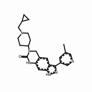 Cc1cncc(-c2n[nH]c3cc4c(cc23)CN(C2CCN(CC3CC3)CC2)C(=O)N4)c1